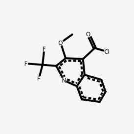 COc1c(C(F)(F)F)nc2ccccc2c1C(=O)Cl